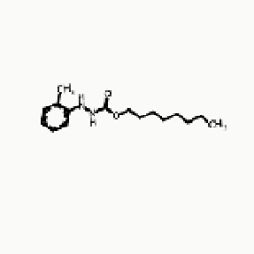 CCCCCCCCOC(=O)NNc1ccccc1C